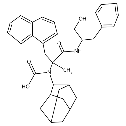 CC(Cc1cccc2ccccc12)(C(=O)NC(CO)Cc1ccccc1)N(C(=O)O)C1C2CC3CC(C2)CC1C3